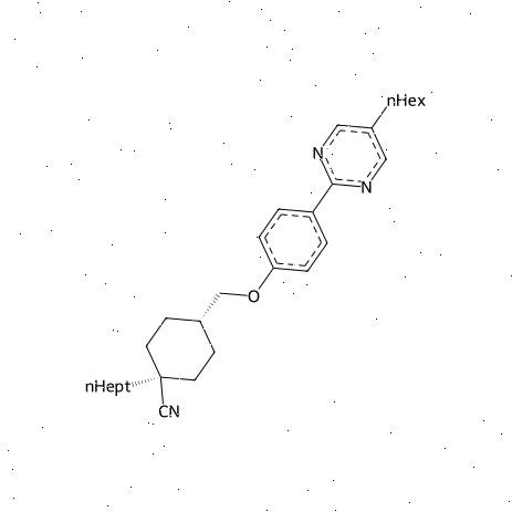 CCCCCCC[C@]1(C#N)CC[C@H](COc2ccc(-c3ncc(CCCCCC)cn3)cc2)CC1